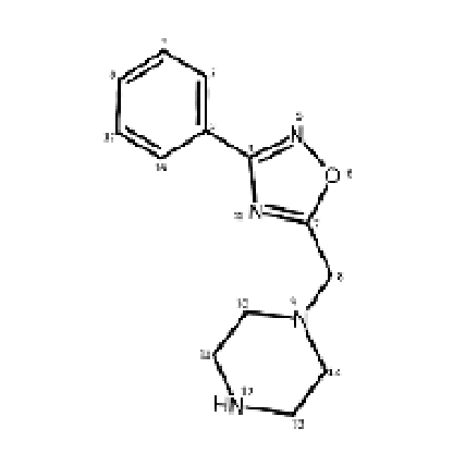 c1ccc(-c2noc(CN3CCNCC3)n2)cc1